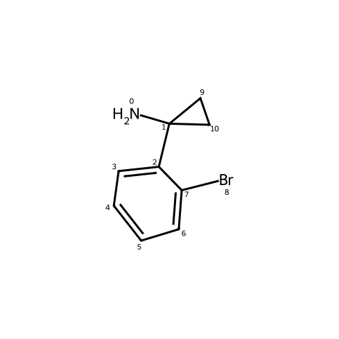 NC1(c2ccccc2Br)CC1